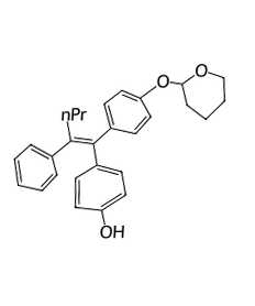 CCC/C(=C(/c1ccc(O)cc1)c1ccc(OC2CCCCO2)cc1)c1ccccc1